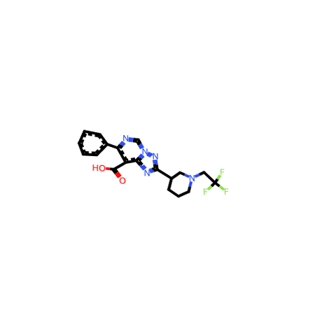 O=C(O)c1c(-c2ccccc2)ncn2nc(C3CCCN(CC(F)(F)F)C3)nc12